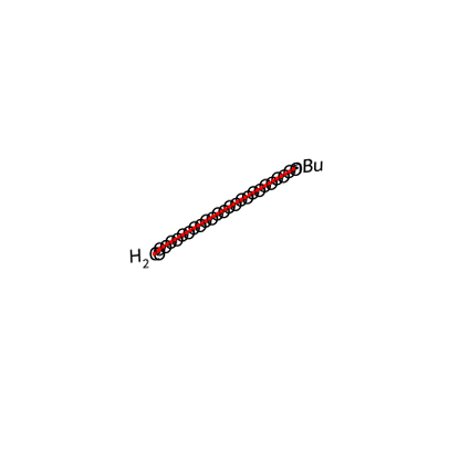 C=CC(=O)OCCOCCOCCOCCOCCOCCOCCOCCOCCOCCOCCOCCOCCOCCOCCOCCOCCOCCOCCOCCOCCOCCOCCOCCCC